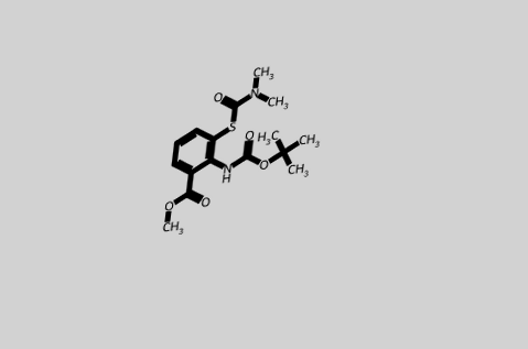 COC(=O)c1cccc(SC(=O)N(C)C)c1NC(=O)OC(C)(C)C